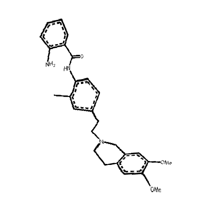 COc1cc2c(cc1OC)CN(CCc1ccc(NC(=O)c3ccccc3N)c(C)c1)CC2